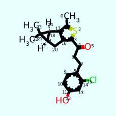 Cc1sc(C(=O)CCc2ccc(O)cc2Cl)c2c1[C@H]1[C@@H](C2)C1(C)C